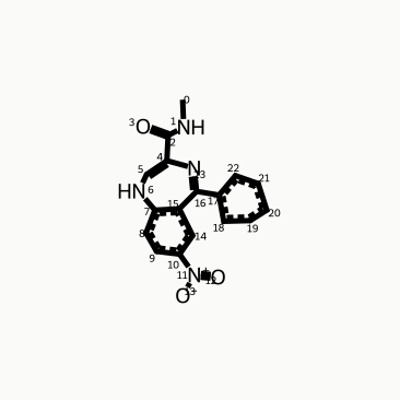 CNC(=O)C1=CNc2ccc([N+](=O)[O-])cc2C(c2ccccc2)=N1